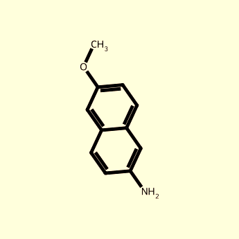 COc1ccc2cc(N)ccc2c1